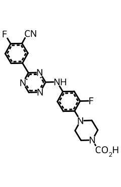 N#Cc1cc(-c2ncnc(Nc3ccc(N4CCN(C(=O)O)CC4)c(F)c3)n2)ccc1F